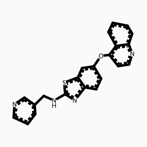 c1cncc(CNc2nc3ccc(Oc4ccnc5ccccc45)cc3s2)c1